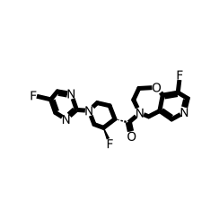 O=C([C@H]1CCN(c2ncc(F)cn2)C[C@@H]1F)N1CCOc2c(F)cncc2C1